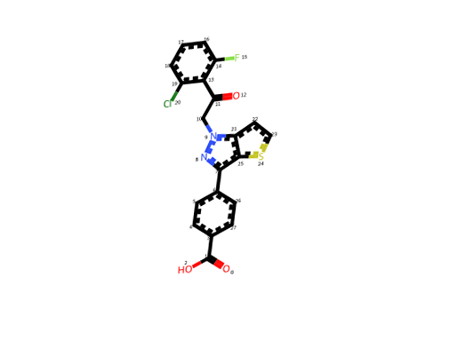 O=C(O)c1ccc(-c2nn(CC(=O)c3c(F)cccc3Cl)c3ccsc23)cc1